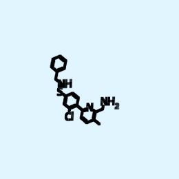 Cc1ccc(-c2ccc(SNCc3ccccc3)cc2Cl)nc1CN